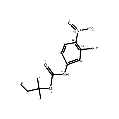 CCC(C)(C)OC(=O)Nc1ccc([N+](=O)[O-])c(F)c1